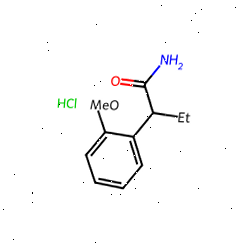 CCC(C(N)=O)c1ccccc1OC.Cl